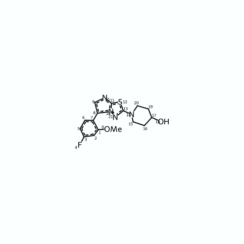 COc1cc(F)ccc1-c1cnc2sc(N3CCC(O)CC3)nn12